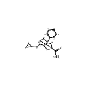 NC(=S)C12CC3C(SC4CC4)C1CC3(c1ccccc1)C2